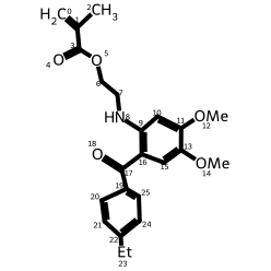 C=C(C)C(=O)OCCNc1cc(OC)c(OC)cc1C(=O)c1ccc(CC)cc1